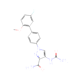 COc1ccc(F)cc1-c1ccc(-n2cc(NC(N)=O)c(C(N)=O)n2)cc1